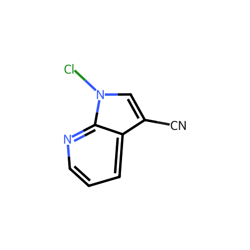 N#Cc1cn(Cl)c2ncccc12